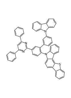 c1ccc(-c2cc(-c3ccccc3)nc(-c3ccc(-n4c5ccccc5c5c6sc7ccccc7c6ccc54)c(-c4cccc(-n5c6ccccc6c6ccccc65)c4)c3)n2)cc1